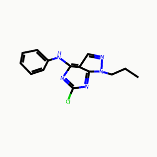 CCCn1ncc2c(Nc3ccccc3)nc(Cl)nc21